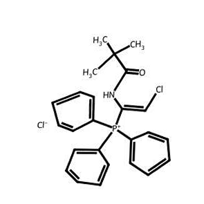 CC(C)(C)C(=O)NC(=CCl)[P+](c1ccccc1)(c1ccccc1)c1ccccc1.[Cl-]